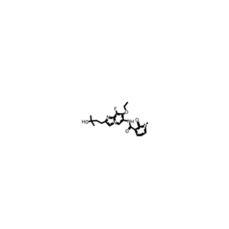 CCOc1c(NC(=O)c2cccn(C)c2=O)cn2cc(CCC(C)(C)O)nc2c1F